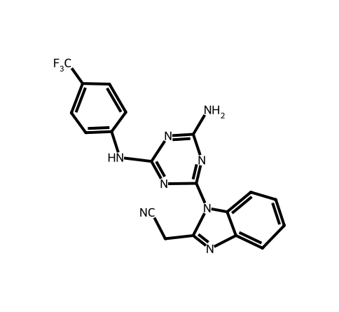 N#CCc1nc2ccccc2n1-c1nc(N)nc(Nc2ccc(C(F)(F)F)cc2)n1